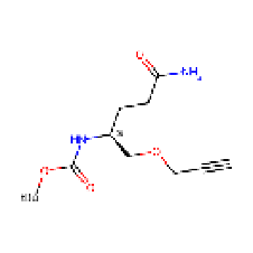 C#CCOC[C@H](CCC(N)=O)NC(=O)OC(C)(C)C